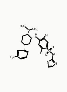 CN(C)[C@@H]1CC[C@@H](c2cccc(C(F)(F)F)c2)C[C@H]1Nc1cc(F)c(S(=O)(=O)Nc2nccs2)cc1Cl